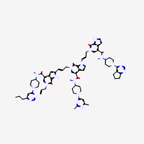 C=CCn1cc(C(=O)N(C)C2CCN(c3cc(CCC)ncn3)CC2)c2cc(/C=C/Cn3cc(C(=O)N(C)C4CCN(c5cc(C)nc(C)n5)CC4)c4ccn(/C=C/Cn5cc(C(=O)N(C)C6CCN(c7ncnc8c7CCC8)CC6)c6cc[nH]c6c5=O)c4c3=O)[nH]c2c1=O